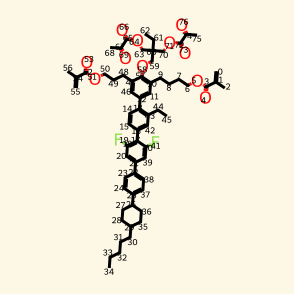 C=C(C)C(=O)OCCCCc1cc(-c2ccc(-c3c(F)cc(-c4ccc(C5CCC(CCCCC)CC5)cc4)cc3F)cc2CC)cc(CCCOC(=O)C(=C)C)c1OCC(CC)(COC(=O)C(C)=O)COC(=O)C(C)=O